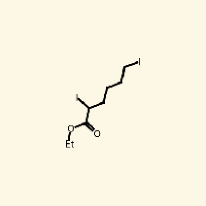 CCOC(=O)C(I)CCCCI